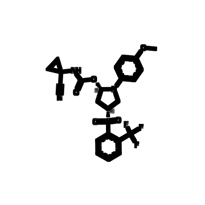 COc1ccc(N2C[C@H](S(=O)(=O)c3ccccc3C(F)(F)F)C[C@@H]2OC(=O)NC2(C#N)CC2)cc1